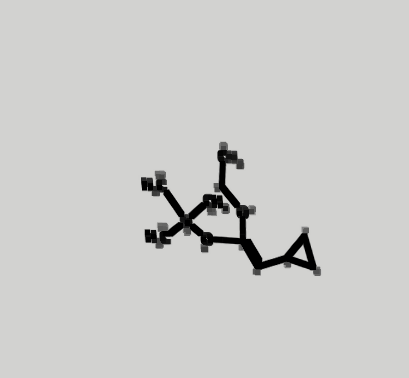 CCO/C(=C\C1CC1)O[Si](C)(C)C